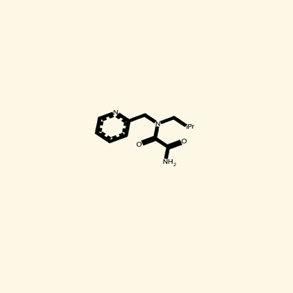 CC(C)CN(Cc1ccccn1)C(=O)C(N)=O